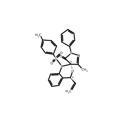 C=C[C@@H]1O[C@@]2(C(=O)N(c3ccccc3)N=C2C)N(S(=O)(=O)c2ccc(C)cc2)c2ccccc21